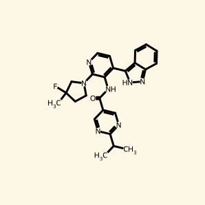 CC(C)c1ncc(C(=O)Nc2c(-c3[nH]nc4ccccc34)ccnc2N2CCC(C)(F)C2)cn1